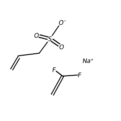 C=C(F)F.C=CCS(=O)(=O)[O-].[Na+]